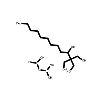 CCCCCCCCCCCCCCCCCCC(O)C(CO)(CO)CO.OP(O)OP(O)O